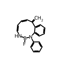 C=C1/C=C\C=C/NB(F)N(c2ccccc2)c2ccccc21